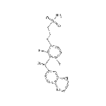 NS(=O)(=O)CCCc1ccc(F)c(C(=O)c2ccc3nccnc3c2)c1F